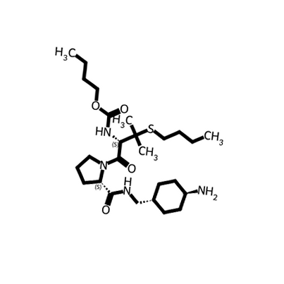 CCCCOC(=O)N[C@@H](C(=O)N1CCC[C@H]1C(=O)NC[C@H]1CC[C@H](N)CC1)C(C)(C)SCCCC